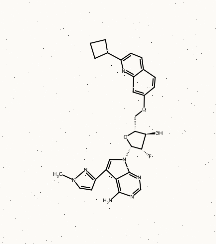 Cn1ccc(-c2cn([C@@H]3O[C@H](COc4ccc5ccc(C6CCC6)nc5c4)[C@@H](O)[C@@H]3F)c3ncnc(N)c23)n1